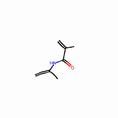 C=C(C)NC(=O)C(=C)C